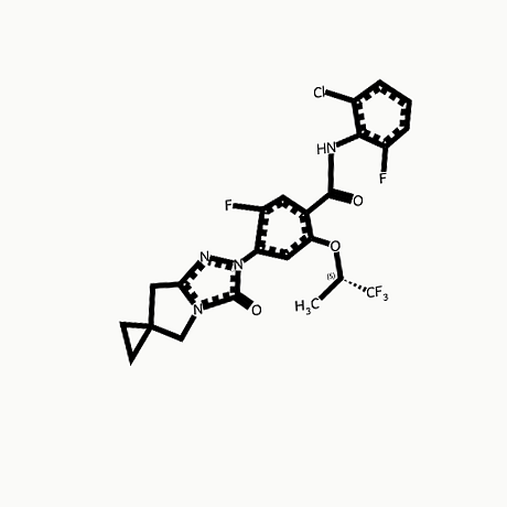 C[C@H](Oc1cc(-n2nc3n(c2=O)CC2(CC2)C3)c(F)cc1C(=O)Nc1c(F)cccc1Cl)C(F)(F)F